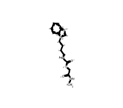 CNC(=O)COC(=O)NCCCCn1cnc2ccccc21